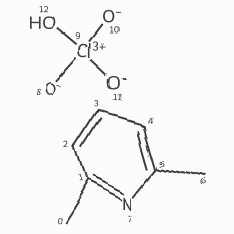 Cc1cccc(C)n1.[O-][Cl+3]([O-])([O-])O